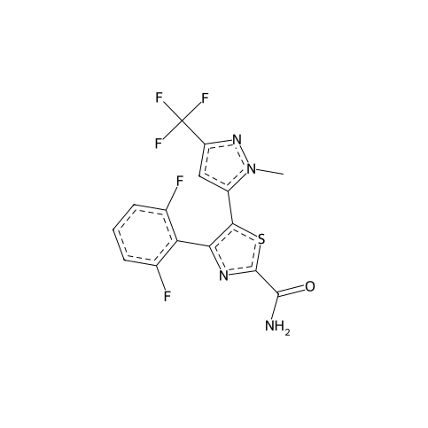 Cn1nc(C(F)(F)F)cc1-c1sc(C(N)=O)nc1-c1c(F)cccc1F